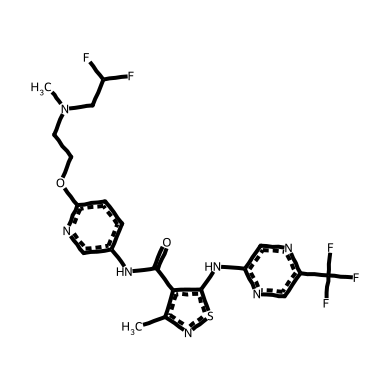 Cc1nsc(Nc2cnc(C(F)(F)F)cn2)c1C(=O)Nc1ccc(OCCN(C)CC(F)F)nc1